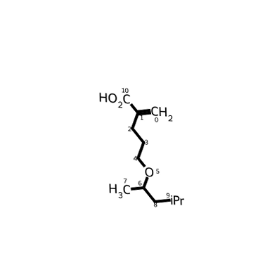 C=C(CCCOC(C)CC(C)C)C(=O)O